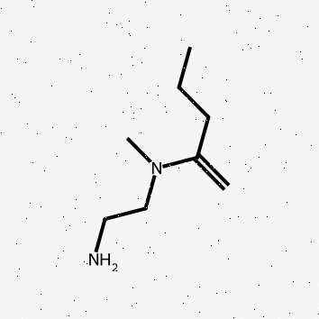 C=C(CCC)N(C)CCN